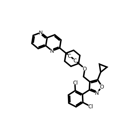 Clc1cccc(Cl)c1-c1noc(C2CC2)c1COC12CCC(c3ccc4ncccc4n3)(CC1)CC2